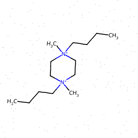 CCCC[N+]1(C)CC[N+](C)(CCCC)CC1